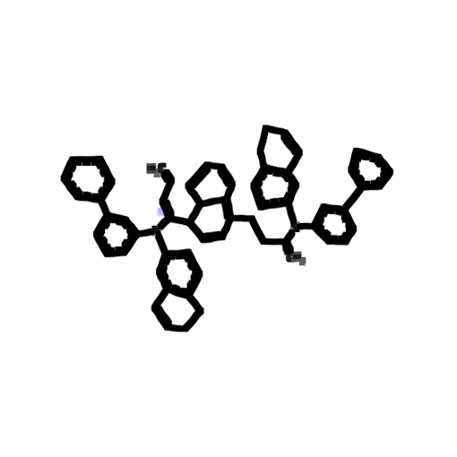 C=C/C=C(\C1C=CC(CCC(=C)N(c2cccc(-c3ccccc3)c2)c2ccc3c(c2)C=CCC3)=C2C=CC=CC21)N(c1cccc(-c2ccccc2)c1)c1ccc2c(c1)C=CCC2